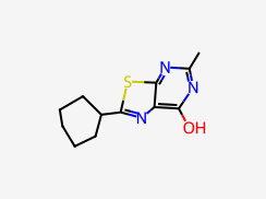 Cc1nc(O)c2nc(C3CCCCC3)sc2n1